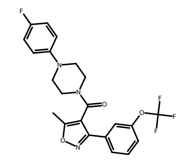 Cc1onc(-c2cccc(OC(F)(F)F)c2)c1C(=O)N1CCN(c2ccc(F)cc2)CC1